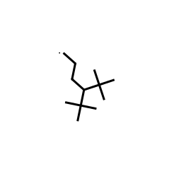 [CH2]CCC(C(C)(C)C)C(C)(C)C